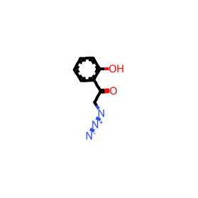 [N-]=[N+]=NCC(=O)c1ccccc1O